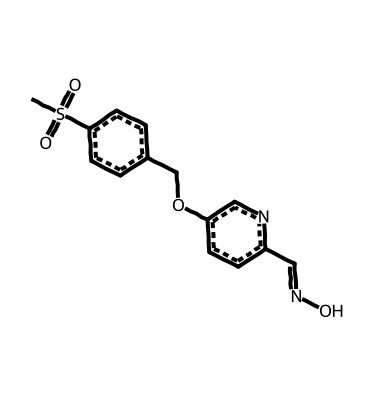 CS(=O)(=O)c1ccc(COc2ccc(C=NO)nc2)cc1